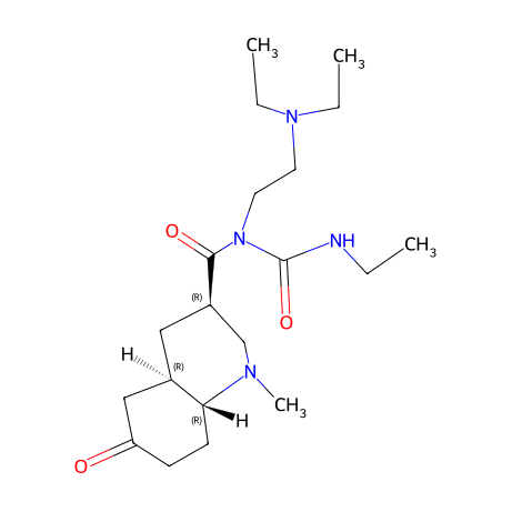 CCNC(=O)N(CCN(CC)CC)C(=O)[C@@H]1C[C@@H]2CC(=O)CC[C@H]2N(C)C1